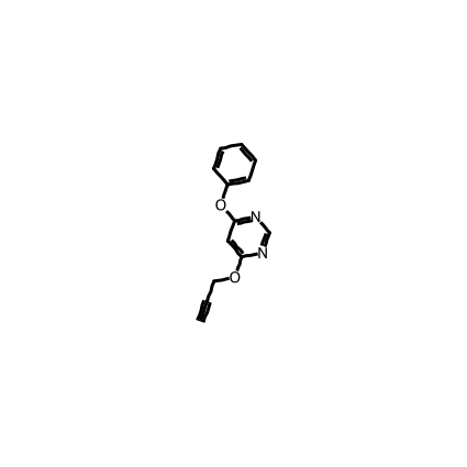 C#CCOc1cc(Oc2ccccc2)ncn1